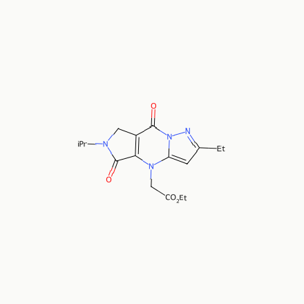 CCOC(=O)Cn1c2c(c(=O)n3nc(CC)cc13)CN(C(C)C)C2=O